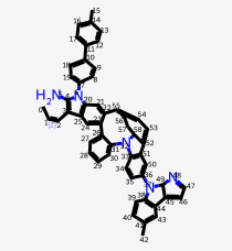 C/C=C\c1c(N)n(-c2ccc(-c3ccc(C)cc3)cc2)c2cc3c(cc12)-c1ccccc1N1c2ccc(N4c5ccc(C)cc5C5=CC=NC54)cc2C2=CC=C3CCC21